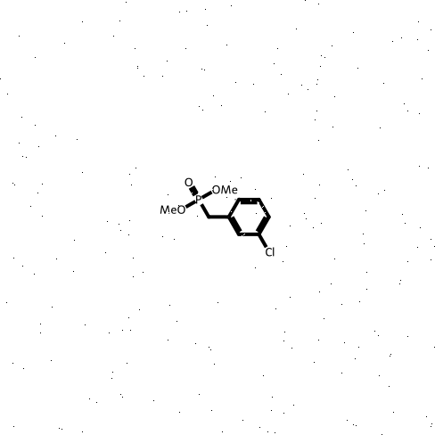 COP(=O)(Cc1[c]ccc(Cl)c1)OC